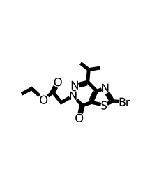 CCOC(=O)Cn1nc(C(C)C)c2nc(Br)sc2c1=O